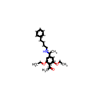 CCOc1cc(C(C)NCCCCc2ccccc2)cc(OCC)c1C(C)=O